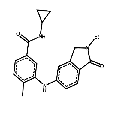 CCN1Cc2cc(Nc3cc(C(=O)NC4CC4)ccc3C)ccc2C1=O